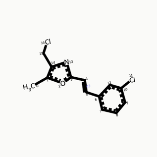 Cc1oc(/C=C/c2cccc(Cl)c2)nc1CCl